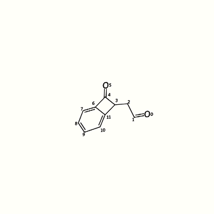 O=CCC1C(=O)c2ccccc21